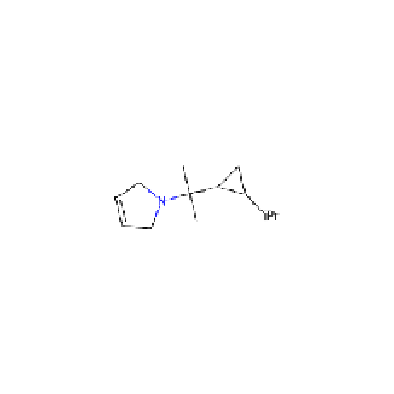 CC(C)C1CC1C(C)(C)N1CC=CC1